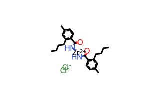 CCCCc1cc(C)ccc1C(=O)[NH][Zr+2][NH]C(=O)c1ccc(C)cc1CCCC.[Cl-].[Cl-]